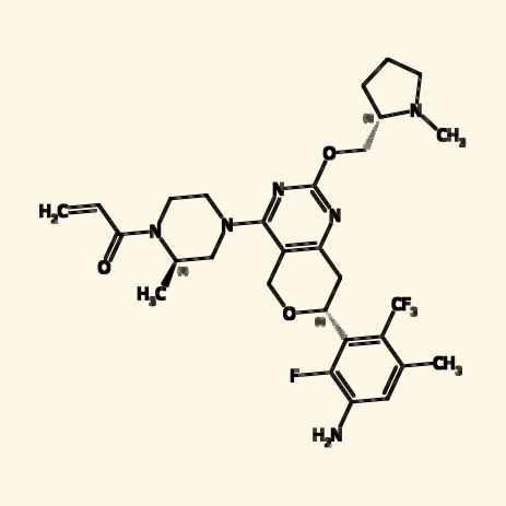 C=CC(=O)N1CCN(c2nc(OC[C@@H]3CCCN3C)nc3c2CO[C@@H](c2c(F)c(N)cc(C)c2C(F)(F)F)C3)C[C@H]1C